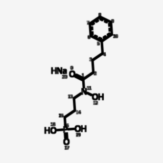 O=C(CCCc1ccccc1)N(O)CCCP(=O)(O)O.[NaH]